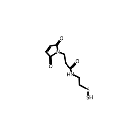 O=C(CCN1C(=O)C=CC1=O)NCCSS